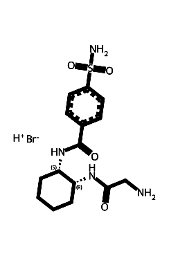 NCC(=O)N[C@@H]1CCCC[C@@H]1NC(=O)c1ccc(S(N)(=O)=O)cc1.[Br-].[H+]